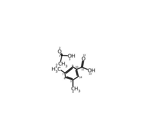 CC(=O)O.Cc1cc(C)cc(C(=O)O)c1